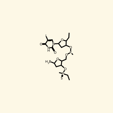 BC1CC(OP(C)(=S)CC)C(COP(C)OC2CC(n3cc(I)c(=O)[nH]c3=O)OC2CC)O1